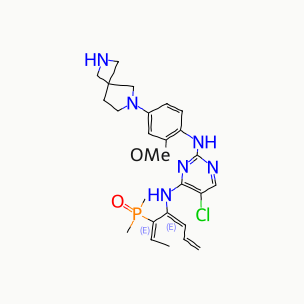 C=C/C=C(Nc1nc(Nc2ccc(N3CCC4(CNC4)C3)cc2OC)ncc1Cl)\C(=C/C)P(C)(C)=O